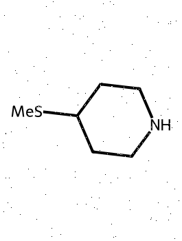 [CH2]SC1CCNCC1